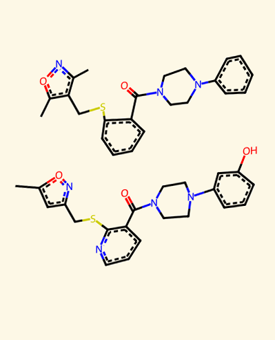 Cc1cc(CSc2ncccc2C(=O)N2CCN(c3cccc(O)c3)CC2)no1.Cc1noc(C)c1CSc1ccccc1C(=O)N1CCN(c2ccccc2)CC1